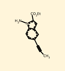 CC#Cc1ccc2c(c1)cc(C(=O)OCC)n2N